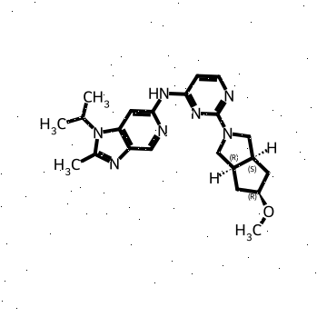 CO[C@@H]1C[C@@H]2CN(c3nccc(Nc4cc5c(cn4)nc(C)n5C(C)C)n3)C[C@@H]2C1